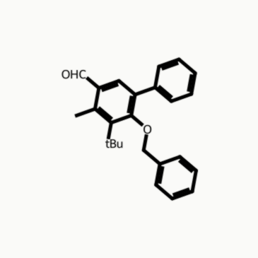 Cc1c(C=O)cc(-c2ccccc2)c(OCc2ccccc2)c1C(C)(C)C